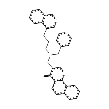 O=c1c(CN(CCCc2cncc3ccccc23)Cc2ccncc2)coc2c1ccc1ccccc12